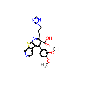 COc1ccc(-c2c(C(=O)O)c(CCCn3cncn3)nc3sc4cnccc4c23)cc1OC